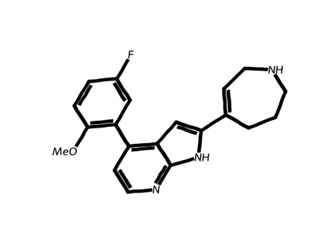 COc1ccc(F)cc1-c1ccnc2[nH]c(C3=CCNCCC3)cc12